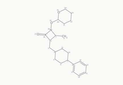 CC1C(CC2CCC(c3ccccc3)CC2)C(=O)N1OC1CCCCO1